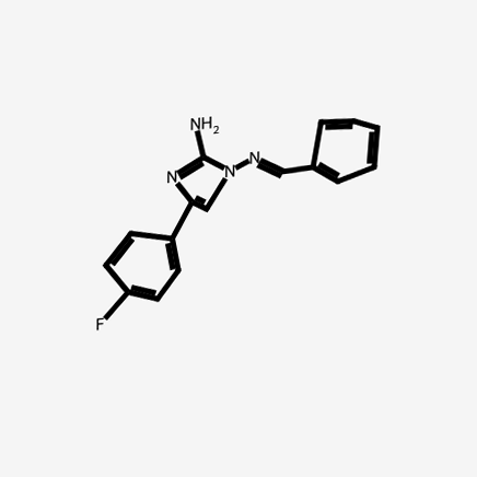 Nc1nc(-c2ccc(F)cc2)cn1N=Cc1ccccc1